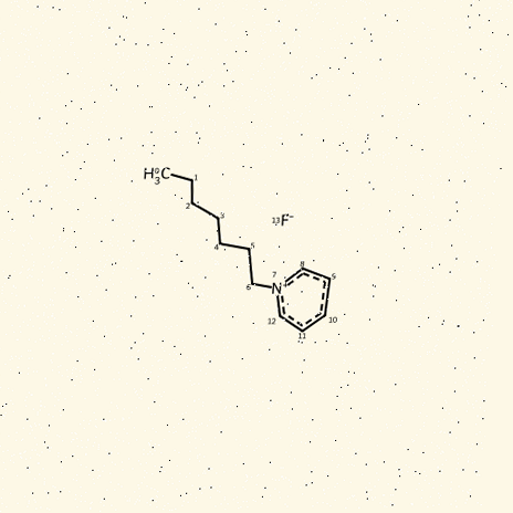 CCCCCCC[n+]1ccccc1.[F-]